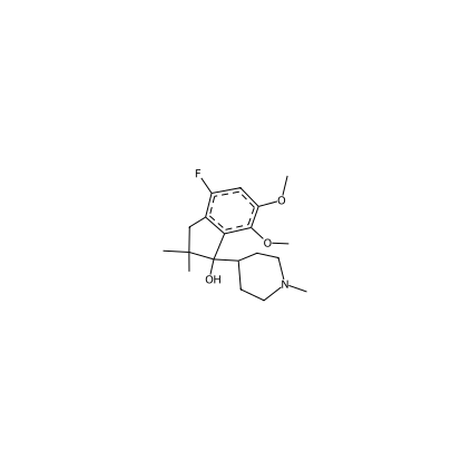 COc1cc(F)c2c(c1OC)C(O)(C1CCN(C)CC1)C(C)(C)C2